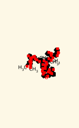 CCCCCCCC1(CCCCCCC)c2ccccc2-c2ccc(-c3ccc4c(c3)C(C)(C)c3cc(N(c5ccc6c(c5)C(C)(C)c5cc(-c7ccc8oc9ccccc9c8c7)c7oc8ccccc8c7c5-6)c5ccc6c(c5)C5(c7ccccc7-c7ccccc75)c5cc7c(cc5-6)C5(c6ccccc6-c6ccccc65)c5ccc6oc8ccccc8c6c5-7)ccc3-4)cc21